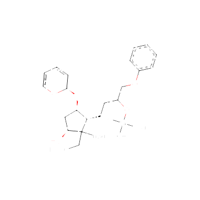 CCCCC1(CC(=O)O)[C@H](CCC(COc2ccccc2)O[Si](C)(C)C(C)(C)C)[C@H](O[C@@H]2C=CC=CO2)C[C@@H]1O